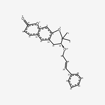 CC1(C)Oc2cc3oc(=O)ccc3cc2C[C@@H]1OC/C=C/c1ccccc1